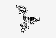 O=C1c2ccccc2C(=O)N1CCCCN(CCNc1ccnc2cc(Cl)ccc12)CCNc1ccnc2cc(Cl)ccc12